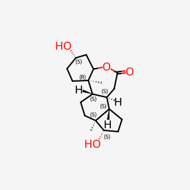 C[C@]12CC[C@H]3[C@@H](CC(=O)OC4C[C@@H](O)CC[C@@]43C)[C@@H]1CC[C@@H]2O